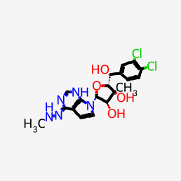 CNN=c1nc[nH]c2c1ccn2[C@@H]1O[C@H](C(O)c2ccc(Cl)c(Cl)c2)[C@@](C)(O)[C@H]1O